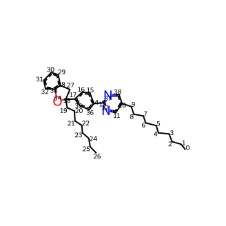 CCCCCCCCCCc1cnc(-c2ccc(C3(CCCCCCCC)Cc4ccccc4O3)cc2)nc1